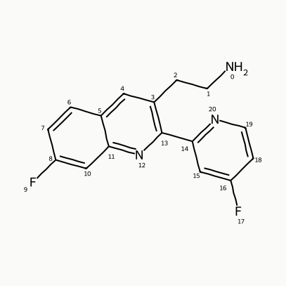 NCCc1cc2ccc(F)cc2nc1-c1cc(F)ccn1